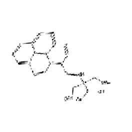 CC(=O)OCC(COC(C)=O)(NCc1ccc2ccc3cccc4ccc1c2c34)C(O)C(C)=O